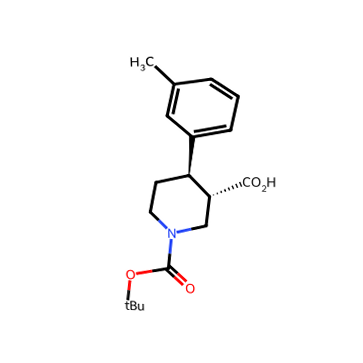 Cc1cccc([C@@H]2CCN(C(=O)OC(C)(C)C)C[C@H]2C(=O)O)c1